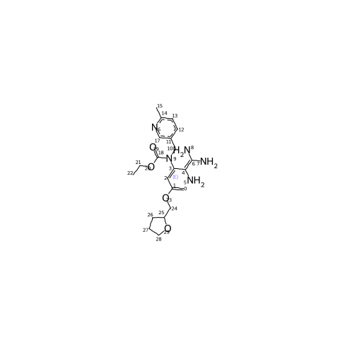 C=C(/C=C(\C(N)=C(N)N)N(Cc1ccc(C)nc1)C(=O)OCC)OCC1CCCO1